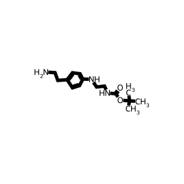 CC(C)(C)OC(=O)NCCNc1ccc(CCN)cc1